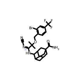 CC(C)(OCc1ccc(C(F)(F)F)cc1Br)/C(=N\C#N)NC1C2CC3CC1CC(C(N)=O)(C3)C2